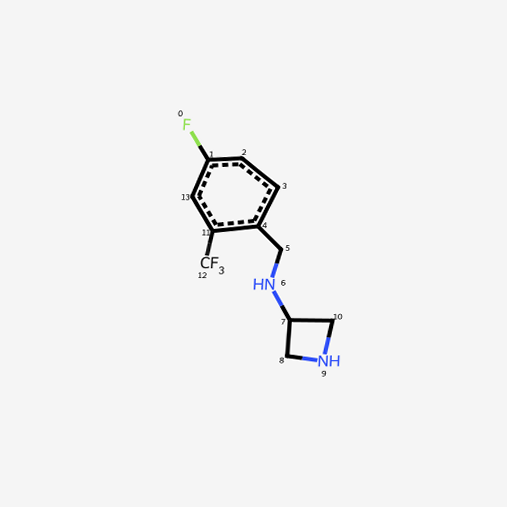 Fc1ccc(CNC2CNC2)c(C(F)(F)F)c1